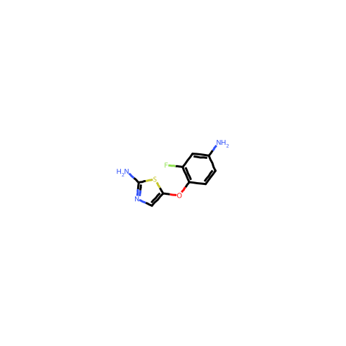 Nc1ccc(Oc2cnc(N)s2)c(F)c1